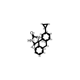 O=C1NC(=O)[C@@]2(N1)c1ccccc1Cc1ccc(C3CC3)cc12